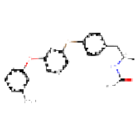 CCOC(=O)c1cccc(Oc2cccc(Sc3ccc(C[C@@H](C)NC(=O)C(F)(F)F)cc3)c2)c1